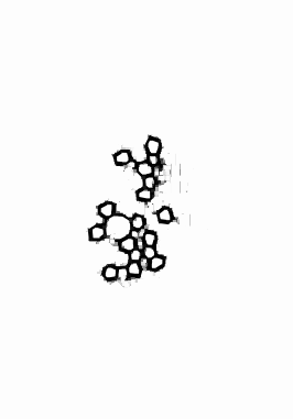 Cc1ccc(N(c2ccc3c(c2)Cc2ccccc2-c2ccccc2Cc2cc4c(cc2-3)C2(c3ccccc3-c3ccccc32)c2ccc3oc5ccccc5c3c2-4)c2ccc3c(c2)C(C)(C)c2c4c(c5c(oc6ccccc65)c2-3)-c2ccccc2C4(C)C)cc1